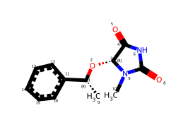 C[C@@H](O[C@@H]1C(=O)NC(=O)N1C)c1ccccc1